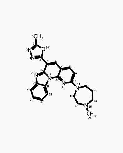 Cc1nnc(-c2cc3ccc(N4CCCN(C)CC4)nc3n3c2nc2ccccc23)o1